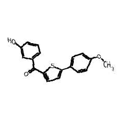 COc1ccc(-c2ccc(C(=O)c3cccc(O)c3)s2)cc1